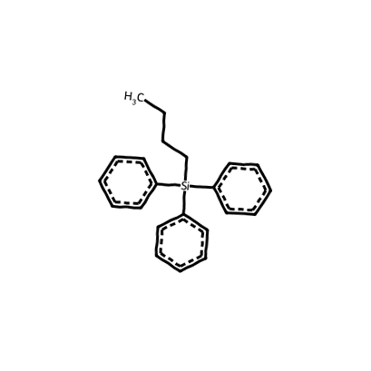 CCCC[Si](c1ccccc1)(c1ccccc1)c1ccccc1